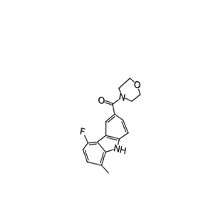 Cc1ccc(F)c2c1[nH]c1ccc(C(=O)N3CCOCC3)cc12